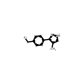 Cc1c[nH]nc1-c1ccc(CF)cc1